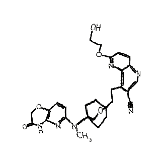 CN(c1ccc2c(n1)NC(=O)CO2)C12CCC(CCc3c(C#N)cnc4ccc(OCCO)nc34)(CC1)OC2